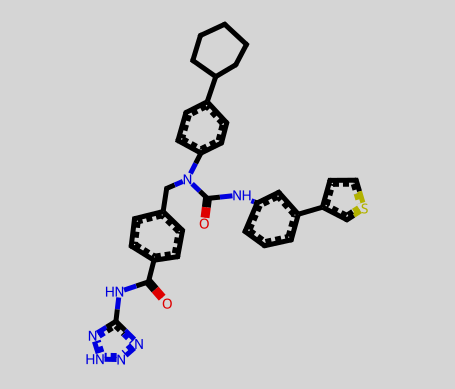 O=C(Nc1nn[nH]n1)c1ccc(CN(C(=O)Nc2cccc(-c3ccsc3)c2)c2ccc(C3CCCCC3)cc2)cc1